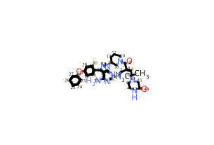 CC(C)(C=C(C#N)C(=O)N1CCCC(n2nc(-c3ccc(Oc4ccccc4)cc3F)c3c(N)ncnc32)C1)N1CCNC(=O)C1